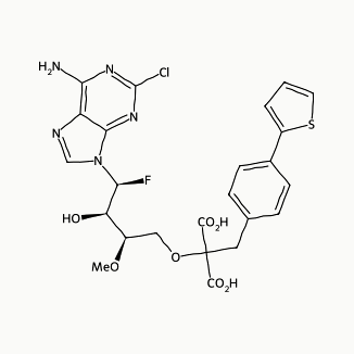 CO[C@H](COC(Cc1ccc(-c2cccs2)cc1)(C(=O)O)C(=O)O)[C@@H](O)[C@H](F)n1cnc2c(N)nc(Cl)nc21